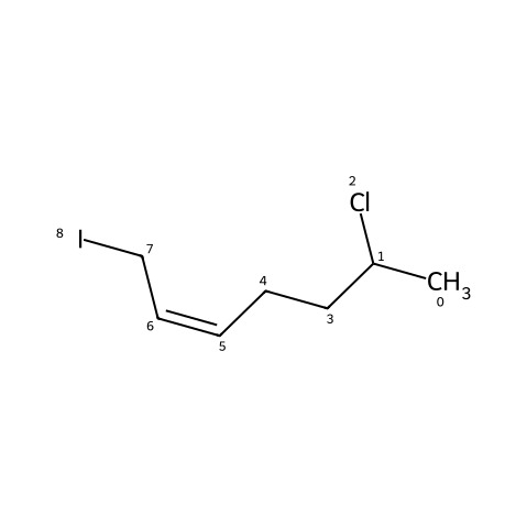 CC(Cl)CC/C=C\CI